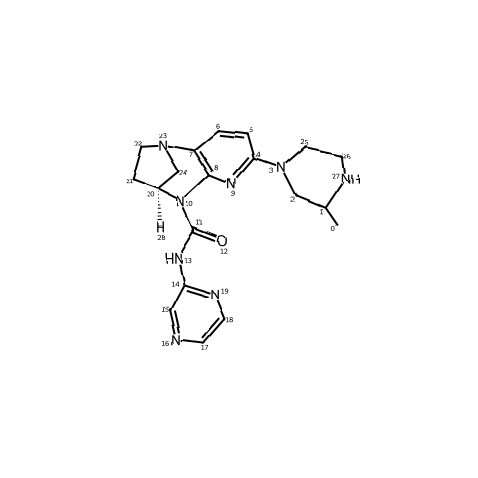 CC1CN(c2ccc3c(n2)N(C(=O)Nc2cnccn2)[C@H]2CCN3C2)CCN1